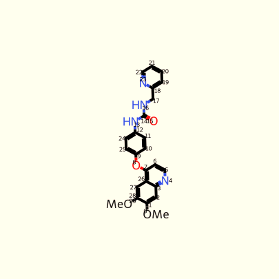 COc1cc2nccc(Oc3ccc(NC(=O)NCc4ccccn4)cc3)c2cc1OC